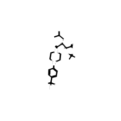 CC(C)C[C@H](C(=O)N1CCN(c2ccc(C(F)(F)F)cc2)CC1)[C@H]1OC(C)(C)OC1=O